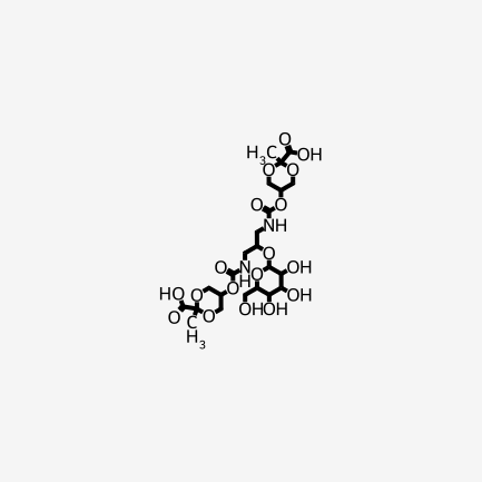 CC1(C(=O)O)OCC(OC(=O)NCC(CNC(=O)OC2COC(C)(C(=O)O)OC2)OC2OC(CO)C(O)C(O)C2O)CO1